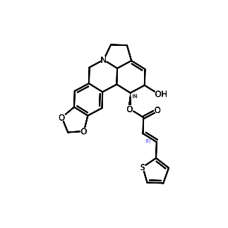 O=C(/C=C/c1cccs1)O[C@@H]1C(O)C=C2CCN3Cc4cc5c(cc4C1C23)OCO5